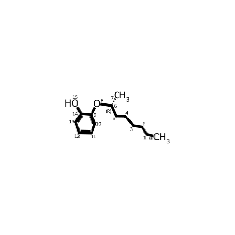 CCCCCC[C@@H](C)Oc1ccccc1O